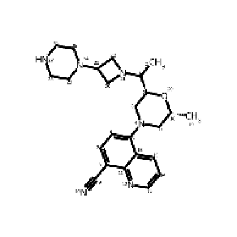 CC([C@@H]1CN(c2ccc(C#N)c3ncccc23)C[C@@H](C)O1)N1CC(N2CCNCC2)C1